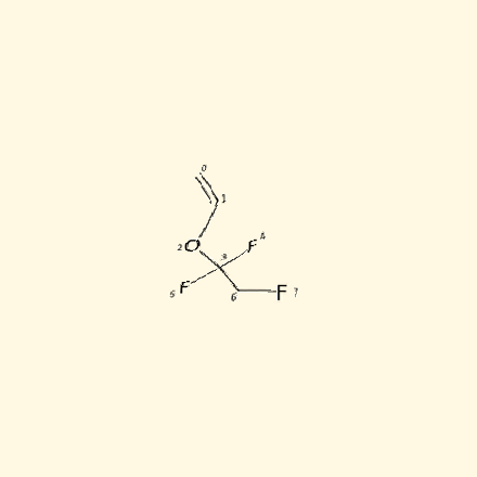 C=COC(F)(F)CF